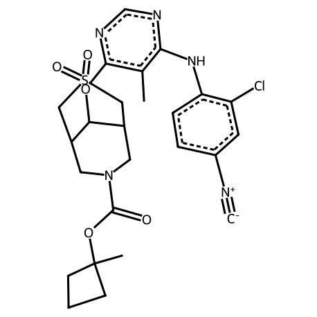 [C-]#[N+]c1ccc(Nc2ncnc(OC3C4CN(C(=O)OC5(C)CCC5)CC3CS(=O)(=O)C4)c2C)c(Cl)c1